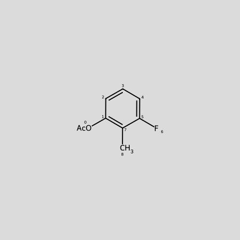 CC(=O)Oc1cccc(F)c1C